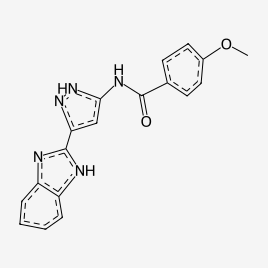 COc1ccc(C(=O)Nc2cc(-c3nc4ccccc4[nH]3)n[nH]2)cc1